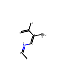 C=C(C)/C(=C\N=C/C)C(C)(C)C